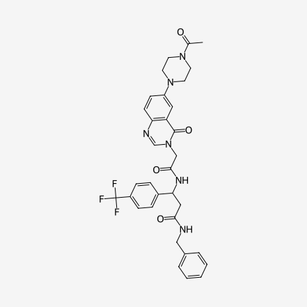 CC(=O)N1CCN(c2ccc3ncn(CC(=O)NC(CC(=O)NCc4ccccc4)c4ccc(C(F)(F)F)cc4)c(=O)c3c2)CC1